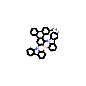 Cc1ccc2c3ccccc3c3cc4c5c(c3c2c1)-n1c2ccccc2c2cccc(c21)B5c1cccc2c3ccccc3n-4c12